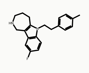 Cc1ccc(CCn2c3c(c4cc(F)ccc42)CNCCC3)cc1